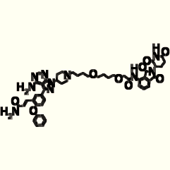 NC(=O)C=Cc1cc(-c2nn(C3CCN(CCCCOCCCCOCC(=O)Nc4cccc5c4C(=O)N(C4CCC(=O)NC4=O)C5=O)CC3)c3ncnc(N)c23)ccc1Oc1ccccc1